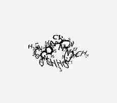 C[C@@H]1C[C@H](O)CN(c2ncc(Cl)c(Nc3ccc4c(c3)c3c(c(=O)n4C)OCC[C@H](C)N3)n2)C1